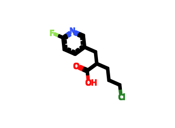 O=C(O)C(CCCCl)Cc1ccc(F)nc1